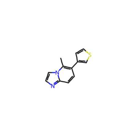 Cc1c(-c2ccsc2)ccc2nccn12